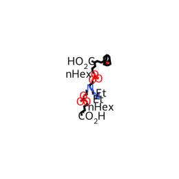 CCCCCCC(CCCC(=O)O)OC(=O)OCCN(CCOC(=O)OC(CCCCCC)CCC(CCC12CC3CC(CC(C3)C1)C2)C(=O)O)CCN(CC)CC